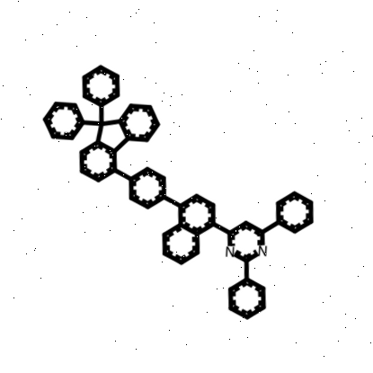 c1ccc(-c2cc(-c3ccc(-c4ccc(-c5cccc6c5-c5ccccc5C6(c5ccccc5)c5ccccc5)cc4)c4ccccc34)nc(-c3ccccc3)n2)cc1